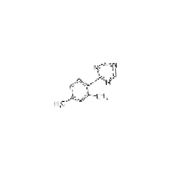 Cc1ccc(-c2ncncn2)c(C)c1